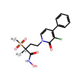 C[C@@](CCn1ccc(-c2ccccc2)c(F)c1=O)(C(=O)NO)S(C)(=O)=O